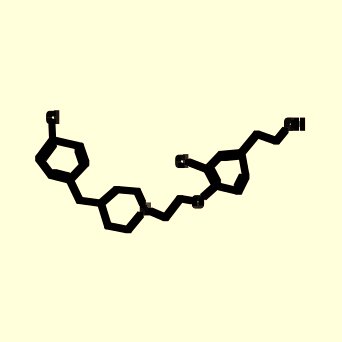 OCCc1ccc(OCCN2CCC(Cc3ccc(Cl)cc3)CC2)c(Cl)c1